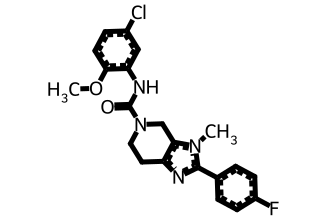 COc1ccc(Cl)cc1NC(=O)N1CCc2nc(-c3ccc(F)cc3)n(C)c2C1